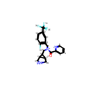 O=C(c1ccccn1)N(Cc1cc(C(F)(F)F)ccc1F)CC1C2CNCC21